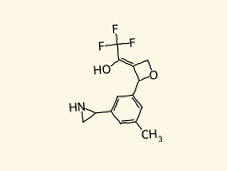 Cc1cc(C2CN2)cc(C2OC/C2=C(/O)C(F)(F)F)c1